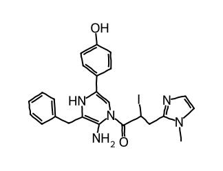 Cn1ccnc1CC(I)C(=O)N1C=C(c2ccc(O)cc2)NC(Cc2ccccc2)=C1N